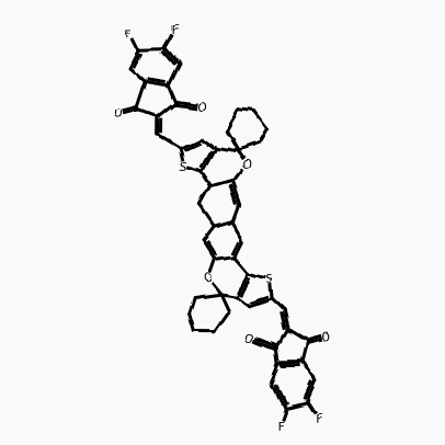 O=C1C(=Cc2cc3c(s2)C2=CC4C=C5OC6(CCCCC6)c6cc(C=C7C(=O)c8cc(F)c(F)cc8C7=O)sc6C5CC4C=C2OC32CCCCC2)C(=O)c2cc(F)c(F)cc21